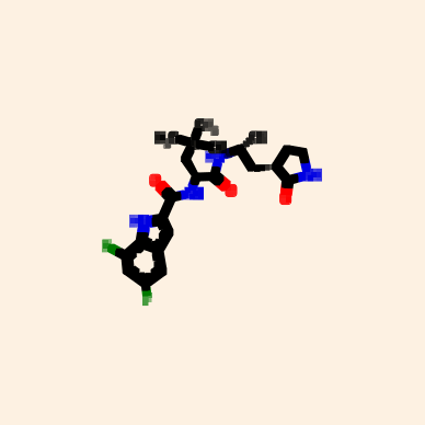 C[Si](C)(C)C[C@H](NC(=O)c1cc2cc(F)cc(F)c2[nH]1)C(=O)N[C@H](C#N)C[C@@H]1CCNC1=O